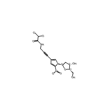 O=C(NCC#Cc1cc([N+](=O)[O-])n([C@H]2C[C@H](O)[C@@H](CO)O2)c1)C(Cl)Cl